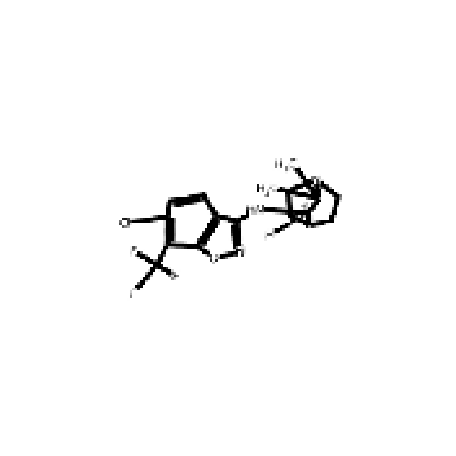 CC1(C)[C@@H](Nc2noc3c(C(F)(F)F)c(Cl)ccc23)C2CCN1CC2